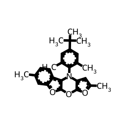 Cc1ccc2c3c(oc2c1)Oc1oc(C)cc1N3c1c(C)cc(C(C)(C)C)cc1C